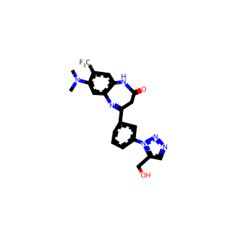 CN(C)c1cc2c(cc1C(F)(F)F)NC(=O)CC(c1cccc(-n3nncc3CO)c1)=N2